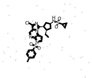 CC[C@@H]1C[C@H](NS(=O)(=O)C2CC2)C[C@@H]1c1nc(Cl)c2cnc3c(ccn3S(=O)(=O)c3ccc(C)cc3)n12